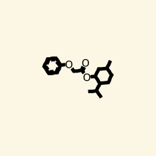 CC1CCC(C(C)C)C(OC(=O)COc2ccccc2)C1